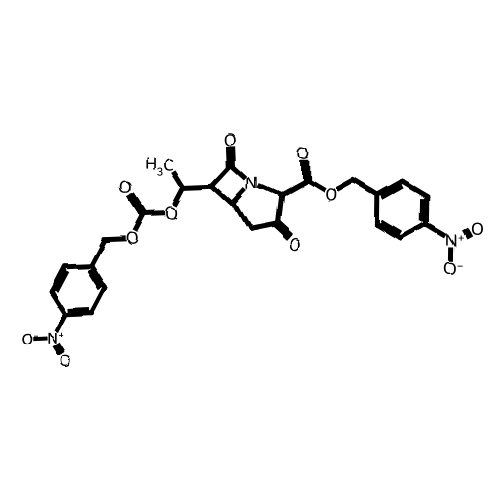 CC(OC(=O)OCc1ccc([N+](=O)[O-])cc1)C1C(=O)N2C(C(=O)OCc3ccc([N+](=O)[O-])cc3)C(=O)CC12